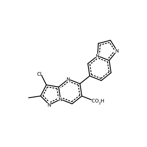 Cc1nn2cc(C(=O)O)c(-c3ccc4nccn4c3)nc2c1Cl